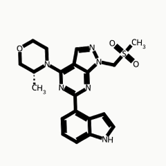 C[C@@H]1COCCN1c1nc(-c2cccc3[nH]ccc23)nc2c1cnn2CS(C)(=O)=O